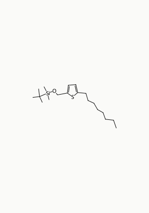 CCCCCCCCc1ccc(CO[Si](C)(C)C(C)(C)C)s1